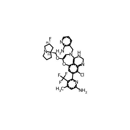 Cc1cc(N)nc(-c2cc3c4c(c2Cl)=NCNC=4N(Cc2cccnc2N)C=C(OC[C@@]24CCCN2C[C@H](F)C4)O3)c1C(F)(F)F